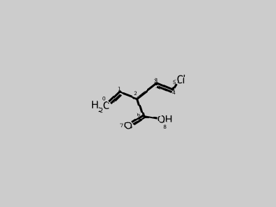 C=CC(C=CCl)C(=O)O